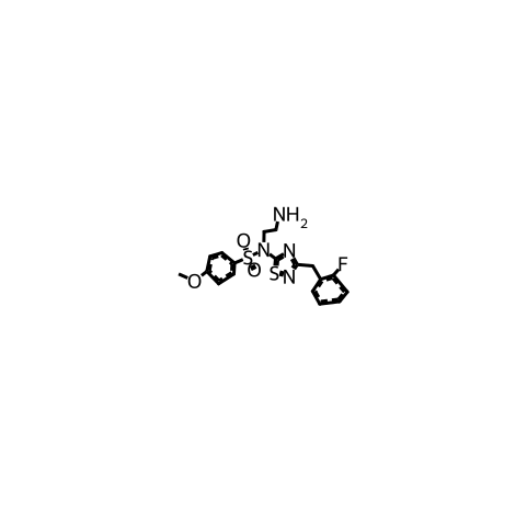 COc1ccc(S(=O)(=O)N(CCN)c2nc(Cc3ccccc3F)ns2)cc1